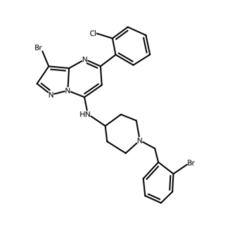 Clc1ccccc1-c1cc(NC2CCN(Cc3ccccc3Br)CC2)n2ncc(Br)c2n1